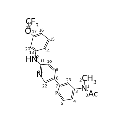 CC(=O)N(C)c1cccc(-c2ccc(Nc3cccc(OC(F)(F)F)c3)nc2)c1